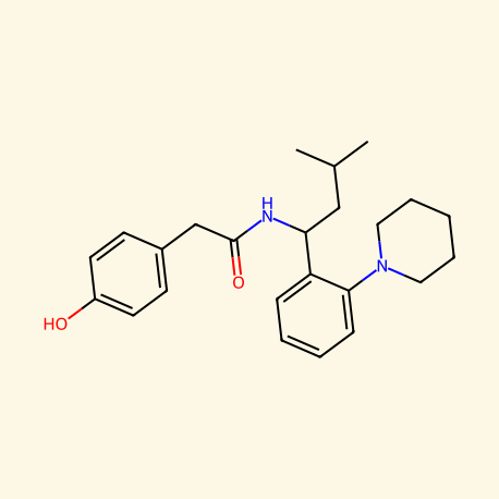 CC(C)CC(NC(=O)Cc1ccc(O)cc1)c1ccccc1N1CCCCC1